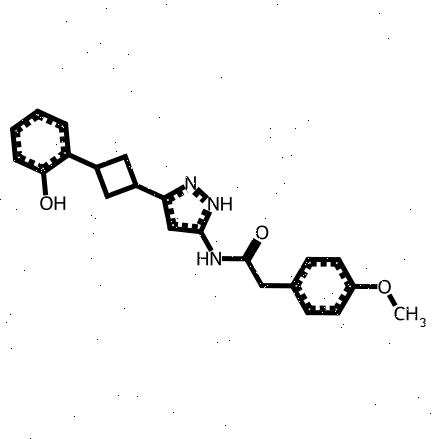 COc1ccc(CC(=O)Nc2cc(C3CC(c4ccccc4O)C3)n[nH]2)cc1